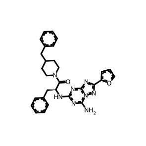 Nc1nc(N[C@@H](Cc2ccccc2)C(=O)N2CCC(Cc3ccccc3)CC2)nc2nc(-c3ccco3)nn12